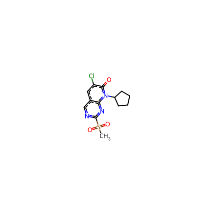 CS(=O)(=O)c1ncc2cc(Cl)c(=O)n(C3CCCC3)c2n1